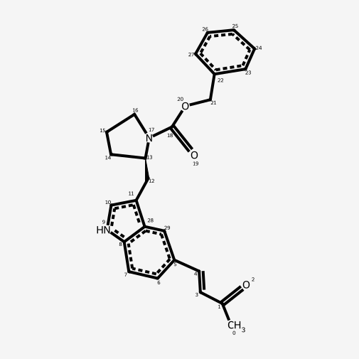 CC(=O)/C=C/c1ccc2[nH]cc(C[C@H]3CCCN3C(=O)OCc3ccccc3)c2c1